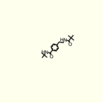 CC(C)(C)NC(=O)c1ccc(CCNC(=O)C(C)(C)C)cc1